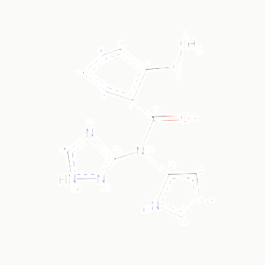 COc1ccccc1C(=O)N(c1cscn1)c1nc[nH]n1